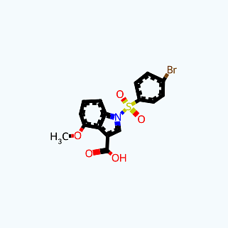 COc1cccc2c1c(C(=O)O)cn2S(=O)(=O)c1ccc(Br)cc1